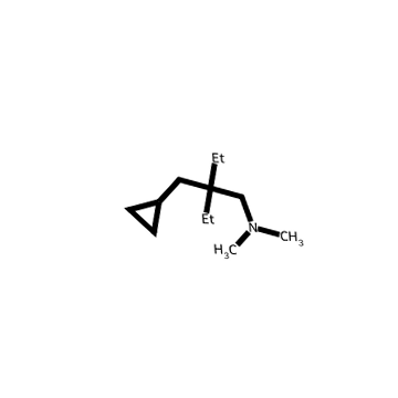 CCC(CC)(CC1CC1)CN(C)C